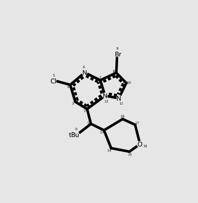 CC(C)(C)C(c1cc(Cl)nc2c(Br)cnn12)C1CCOCC1